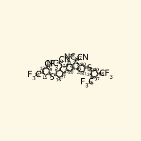 N#CC(C#N)=C1c2cc(Sc3cc(C(F)(F)F)cc(C(F)(F)F)c3)ccc2-c2cc3c(cc21)C(=C(C#N)C#N)c1cc(Sc2cc(C(F)(F)F)cc(C(F)(F)F)c2)ccc1-3